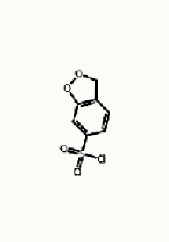 O=S(=O)(Cl)c1ccc2c(c1)OOC2